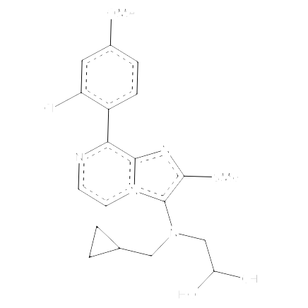 COc1ccc(-c2nccn3c(N(CC(C)O)CC4CC4)c(SC)nc23)c(Cl)c1